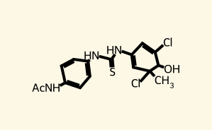 CC(=O)Nc1ccc(NC(=S)NC2=CC(C)(Cl)C(O)C(Cl)=C2)cc1